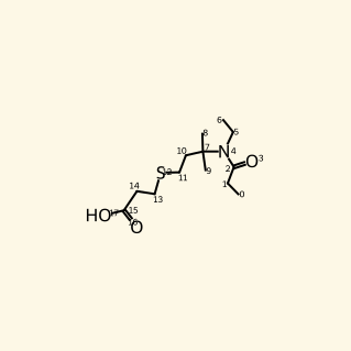 CCC(=O)N(CC)C(C)(C)CCSCCC(=O)O